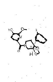 COc1nc(C(=O)N2CC[C@@]3(c4cccc(F)c4)OCO[C@H]3C2)ccc1O